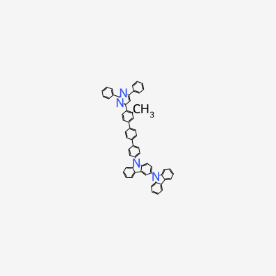 Cc1cc(-c2ccc(-c3ccc(-n4c5ccccc5c5cc(-n6c7ccccc7c7ccccc76)ccc54)cc3)cc2)ccc1-c1cc(-c2ccccc2)nc(-c2ccccc2)n1